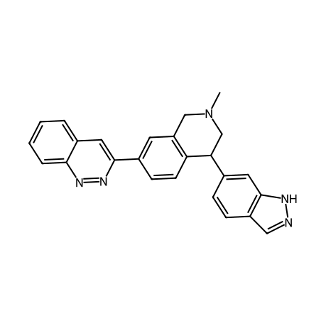 CN1Cc2cc(-c3cc4ccccc4nn3)ccc2C(c2ccc3cn[nH]c3c2)C1